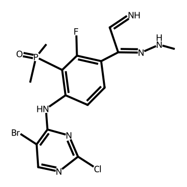 CN/N=C(\C=N)c1ccc(Nc2nc(Cl)ncc2Br)c(P(C)(C)=O)c1F